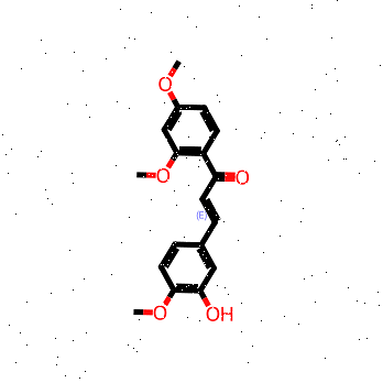 COc1ccc(C(=O)/C=C/c2ccc(OC)c(O)c2)c(OC)c1